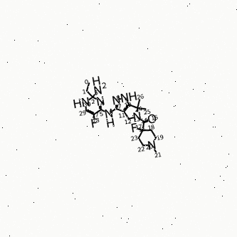 CCC1(N)N=C(Nc2n[nH]c3c2CN(C(=O)C2(F)CCN(C)CC2)C3(C)C)C(F)=CN1